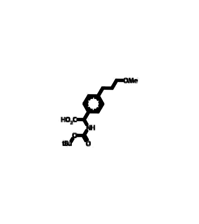 COCCCc1ccc(C(NC(=O)OC(C)(C)C)C(=O)O)cc1